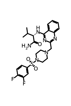 CC(C)[C@H](Nc1nc(CN2CCN(S(=O)(=O)c3ccc(F)c(F)c3)CC2)nc2ccccc12)C(N)=O